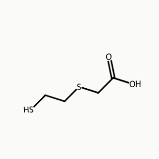 O=C(O)CSCCS